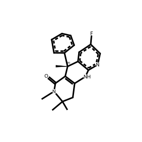 CN1C(=O)C2=C(CC1(C)C)Nc1ncc(F)cc1[C@@]2(C)c1ccccc1